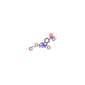 COCCOCCn1[nH]c(=O)c2cc([N+](=O)[O-])ccc21